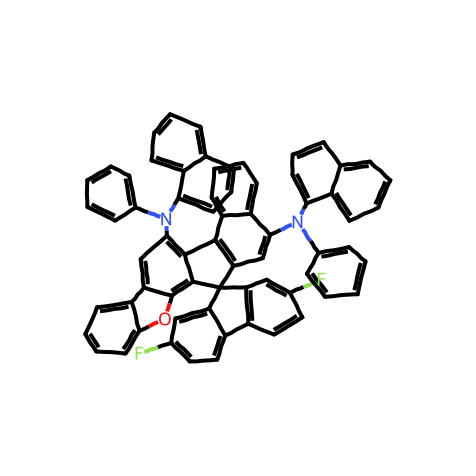 Fc1ccc2c(c1)C1(c3cc(F)ccc3-2)c2cc(N(c3ccccc3)c3cccc4ccccc34)c3ccccc3c2-c2c(N(c3ccccc3)c3cccc4ccccc34)cc3c(oc4ccccc43)c21